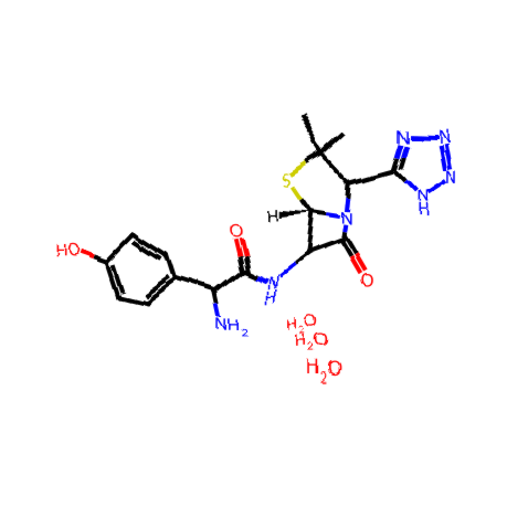 CC1(C)S[C@H]2C(NC(=O)C(N)c3ccc(O)cc3)C(=O)N2C1c1nnn[nH]1.O.O.O